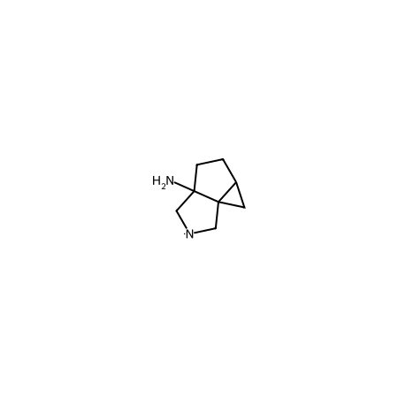 NC12CCC3CC31C[N]C2